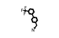 N#CCc1ccc(-c2cccc(C(F)(F)F)c2)cc1